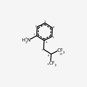 Nc1ccccc1CC(C(F)(F)F)C(F)(F)F